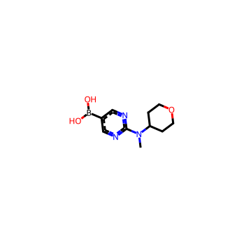 CN(c1ncc(B(O)O)cn1)C1CCOCC1